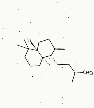 C=C1CC[C@H]2C(C)(C)CCC[C@]2(C)[C@H]1CCC(C)C=O